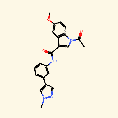 COc1ccc2c(c1)c(C(=O)Nc1cccc(-c3cnn(C)c3)c1)cn2C(C)=O